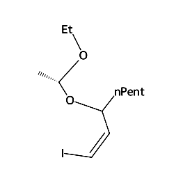 CCCCCC(/C=C\I)O[C@H](C)OCC